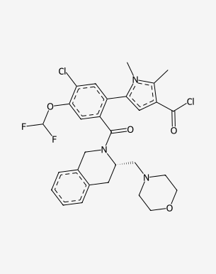 Cc1c(C(=O)Cl)cc(-c2cc(Cl)c(OC(F)F)cc2C(=O)N2Cc3ccccc3C[C@H]2CN2CCOCC2)n1C